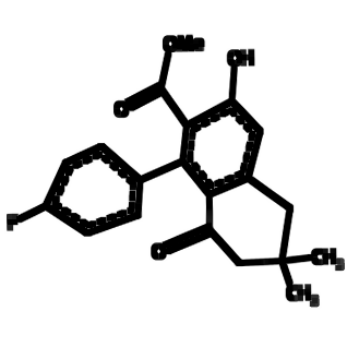 COC(=O)c1c(O)cc2c(c1-c1ccc(F)cc1)C(=O)CC(C)(C)C2